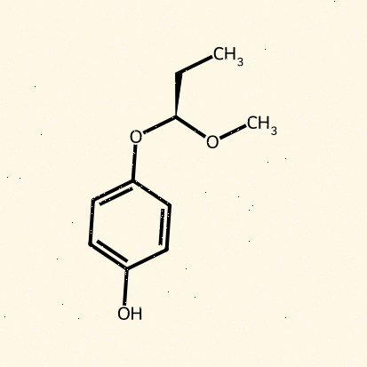 CC[C@@H](OC)Oc1ccc(O)cc1